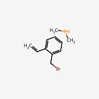 C=Cc1ccccc1CBr.CPC